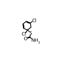 NC(=O)SC1(Cl)C=CC=C(Cl)C1